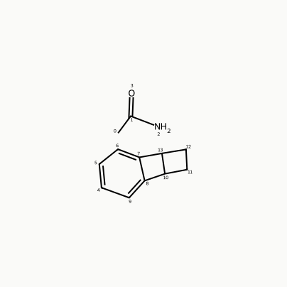 CC(N)=O.c1ccc2c(c1)C1CCC21